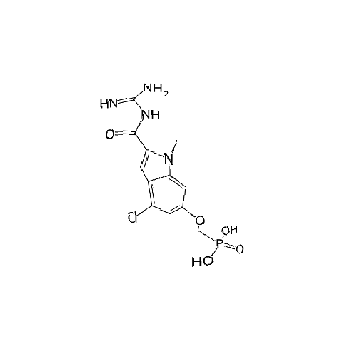 Cn1c(C(=O)NC(=N)N)cc2c(Cl)cc(OCP(=O)(O)O)cc21